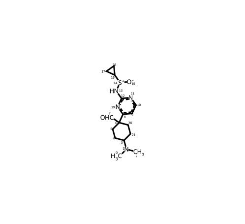 CN(C)C1CCC(C=O)(c2ccnc(N[S+]([O-])C3CC3)n2)CC1